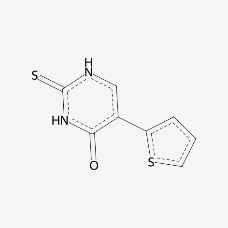 O=c1[nH]c(=S)[nH]cc1-c1cccs1